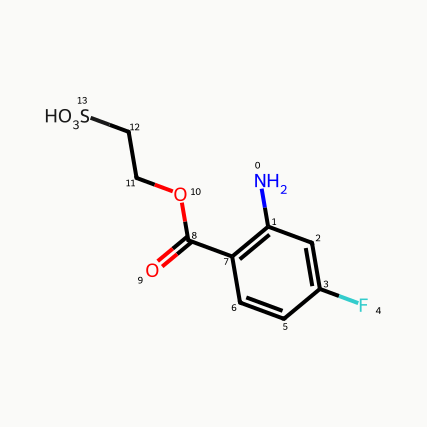 Nc1cc(F)ccc1C(=O)OCCS(=O)(=O)O